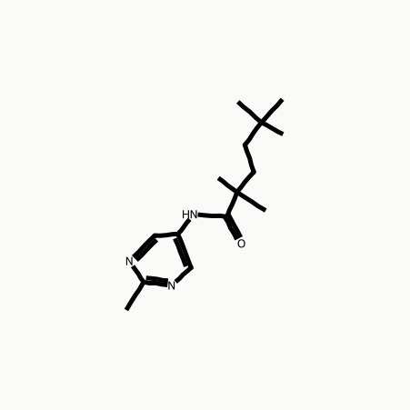 Cc1ncc(NC(=O)C(C)(C)CCC(C)(C)C)cn1